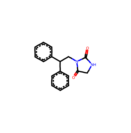 O=C1CNC(=O)N1CC(c1ccccc1)c1ccccc1